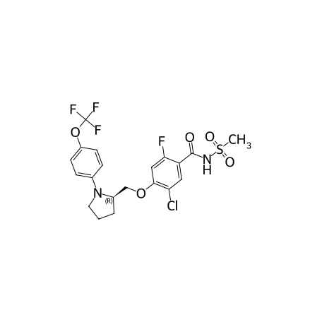 CS(=O)(=O)NC(=O)c1cc(Cl)c(OC[C@H]2CCCN2c2ccc(OC(F)(F)F)cc2)cc1F